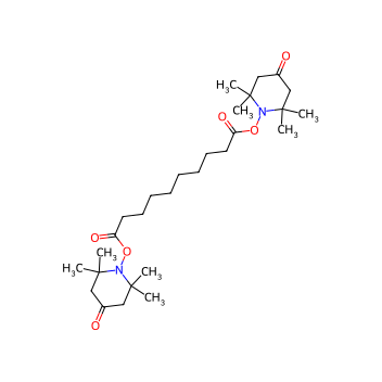 CC1(C)CC(=O)CC(C)(C)N1OC(=O)CCCCCCCCC(=O)ON1C(C)(C)CC(=O)CC1(C)C